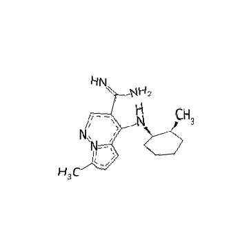 Cc1ccc2c(N[C@@H]3CCCC[C@@H]3C)c(C(=N)N)cnn12